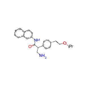 CC(C)OCCc1ccc(C(CN)C(=O)Nc2ccc3ccccc3c2)cc1